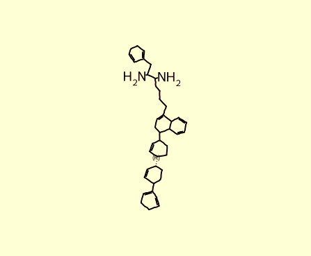 NC(CCCCC1=CCC(C2C=C[C@@H](C3C=CC(C4=CCCC=C4)CC3)CC2)C2C=CC=CC12)C(N)CC1=CCCC=C1